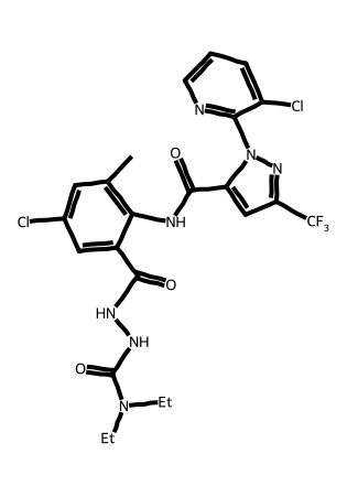 CCN(CC)C(=O)NNC(=O)c1cc(Cl)cc(C)c1NC(=O)c1cc(C(F)(F)F)nn1-c1ncccc1Cl